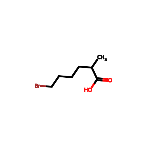 CC(CCCCBr)C(=O)O